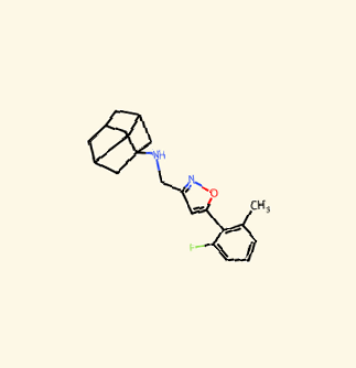 Cc1cccc(F)c1-c1cc(CNC23CC4CC(CC(C4)C2)C3)no1